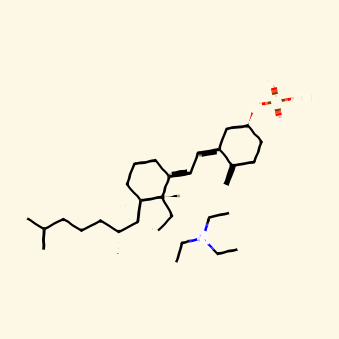 C=C1CC[C@H](OS(=O)(=O)O)C/C1=C/C=C1\CCC[C@]2(C)[C@@H]([C@H](C)CCCC(C)C)CC[C@@H]12.CCN(CC)CC